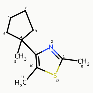 Cc1nc(C2(C)CCCC2)c(C)s1